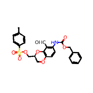 Cc1ccc(S(=O)(=O)OCC2COc3ccc(NC(=O)OCc4ccccc4)c(C=O)c3O2)cc1